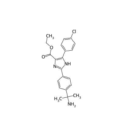 CCOC(=O)c1nc(-c2ccc(C(C)(C)N)cc2)[nH]c1-c1ccc(Cl)cc1